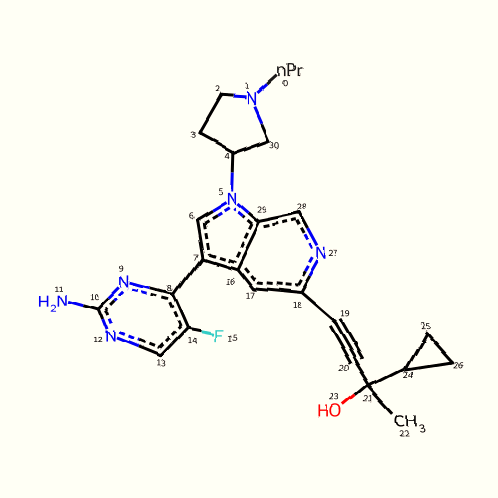 CCCN1CCC(n2cc(-c3nc(N)ncc3F)c3cc(C#CC(C)(O)C4CC4)ncc32)C1